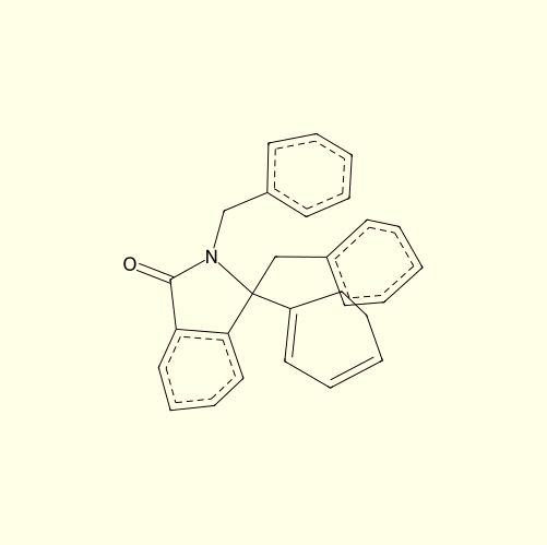 O=C1c2ccccc2C(Cc2ccccc2)(C2=CC=CCC2)N1Cc1ccccc1